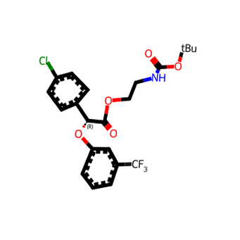 CC(C)(C)OC(=O)NCCOC(=O)[C@H](Oc1cccc(C(F)(F)F)c1)c1ccc(Cl)cc1